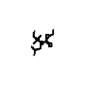 CCOC(=O)N(CC(C)C)C(C)(C)CC